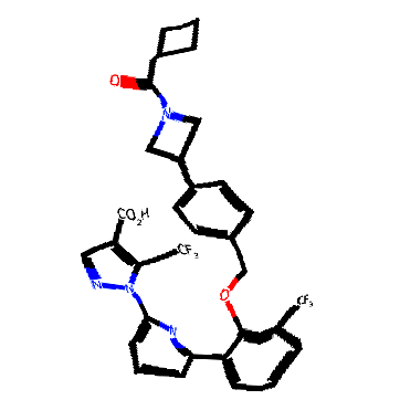 O=C(O)c1cnn(-c2cccc(-c3cccc(C(F)(F)F)c3OCc3ccc(C4CN(C(=O)C5CCC5)C4)cc3)n2)c1C(F)(F)F